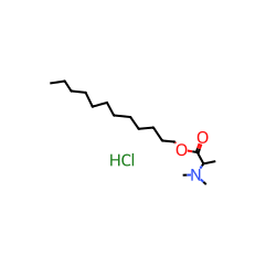 CCCCCCCCCCCCOC(=O)C(C)N(C)C.Cl